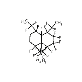 CC(F)(F)C1(F)CCC(F)(C(C)(F)F)C2(F)C(F)(C(C)(F)F)C(F)(F)C(F)(F)C(F)(C(C)(F)F)C12F